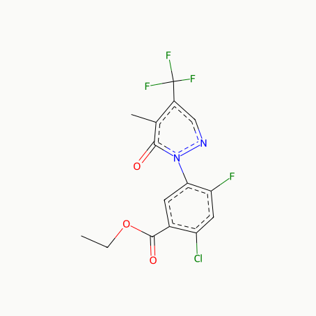 CCOC(=O)c1cc(-n2ncc(C(F)(F)F)c(C)c2=O)c(F)cc1Cl